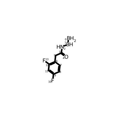 BBNC(=O)Cc1ccc(F)cc1F